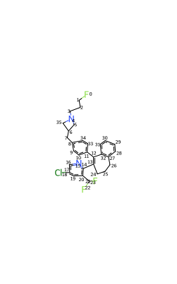 FCCCN1CC(Cc2ccc(C3=C(c4ncc(Cl)cc4C(F)F)CCCc4ccccc43)cc2)C1